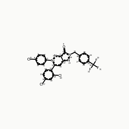 O=c1c2nn(-c3ccc(Cl)cc3)c(-c3ccc(Cl)cc3Cl)cc-2nn1Cc1ccc(C(F)(F)F)cc1